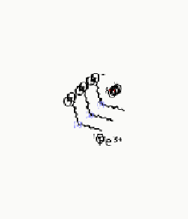 CCCCCCCC/C=C\CCCCCCCC(=O)[O-].CCCCCCCC/C=C\CCCCCCCC(=O)[O-].CCCCCCCC/C=C\CCCCCCCC(=O)[O-].[C]=O.[C]=O.[C]=O.[C]=O.[C]=O.[Fe+3]